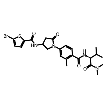 Cc1cc(N2CC(NC(=O)c3ccc(Br)s3)CC2=O)ccc1C(=O)N[C@H](C(=O)N(C)C)C(C)C